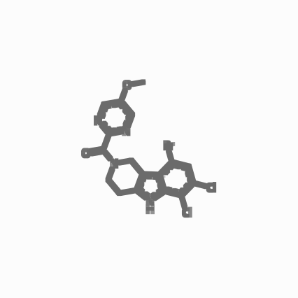 COc1cnc(C(=O)N2CCc3[nH]c4c(Cl)c(Cl)cc(Br)c4c3C2)nc1